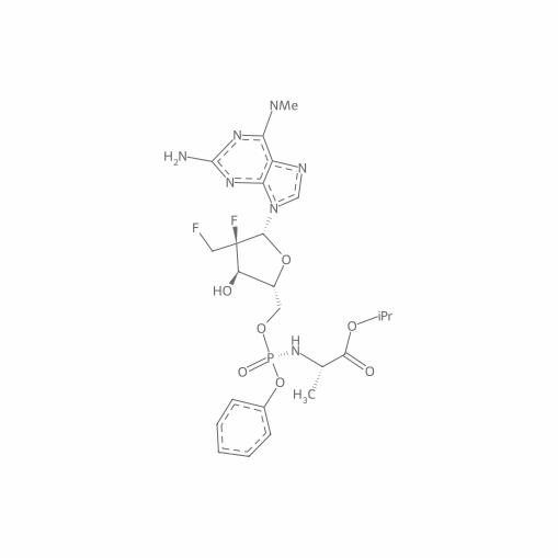 CNc1nc(N)nc2c1ncn2[C@@H]1O[C@H](CO[P@@](=O)(N[C@@H](C)C(=O)OC(C)C)Oc2ccccc2)[C@@H](O)[C@]1(F)CF